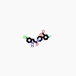 O=C1OC2(CCN(C(=O)c3cc4cc(Cl)ccc4[nH]3)CC2)c2ccc(F)cc21